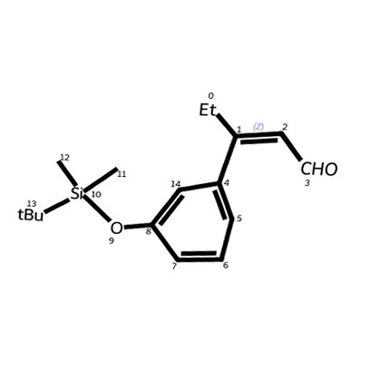 CC/C(=C/C=O)c1cccc(O[Si](C)(C)C(C)(C)C)c1